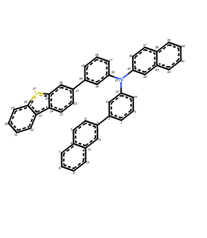 c1cc(-c2ccc3ccccc3c2)cc(N(c2cccc(-c3ccc4c(c3)sc3ccccc34)c2)c2ccc3ccccc3c2)c1